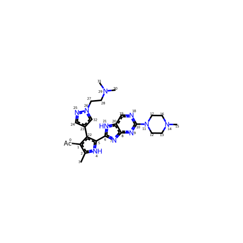 CC(=O)c1c(C)[nH]c(-c2nc3nc(N4CCN(C)CC4)ncc3[nH]2)c1-c1cnn(CCN(C)C)c1